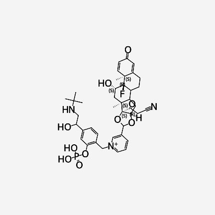 CC(C)(C)NCC(O)c1ccc(C[n+]2cccc(C3O[C@@H]4CC5C6CCC7=CC(=O)C=C[C@]7(C)[C@@]6(F)[C@@H](O)C[C@]5(C)[C@]4(C(=O)CC#N)O3)c2)c(OP(=O)(O)O)c1